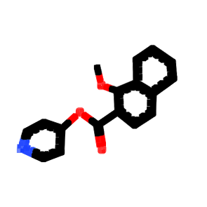 COc1c(C(=O)Oc2ccncc2)ccc2ccccc12